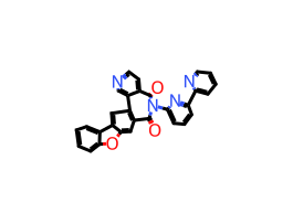 O=c1c2ccncc2c2cc3c(cc2c(=O)n1-c1cccc(-c2ccccn2)n1)oc1ccccc13